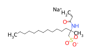 C=CC(=O)NC(C)(CCCCCCCCCCCC)CS(=O)(=O)[O-].[Na+]